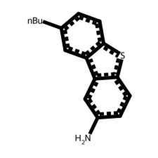 CCCCc1ccc2sc3ccc(N)cc3c2c1